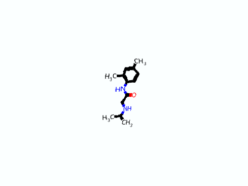 Cc1ccc(NC(=O)CNC(C)C)c(C)c1